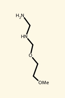 COCCOCNCN